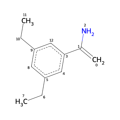 C=C(N)c1cc(CC)cc(CC)c1